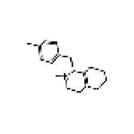 Cc1ccc(C[C@H]2C3=C(CCCC3)CCN2C)cc1